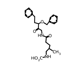 CC(CCC(=O)NCC(=O)C(CCc1ccccc1)OCc1ccccc1)CNC(=O)O